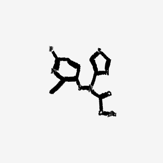 Cc1nc(F)ccc1SN(C(=O)OC(C)(C)C)c1cscn1